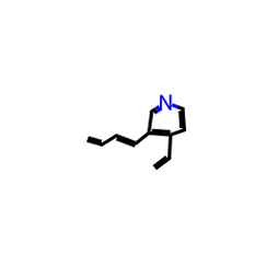 C=CC=Cc1cnccc1C=C